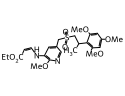 CCOC(=O)/C=C\Nc1cc(CS(=O)(=O)CC(C)c2c(OC)cc(OC)cc2OC)cnc1OC